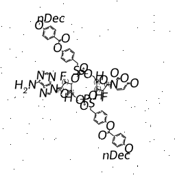 CCCCCCCCCCOc1ccc(C(=O)Oc2ccc(CSP3(=O)OC[C@H]4O[C@@H](n5ccc(=O)oc5=O)C(F)[C@H]4OP(=O)(SCc4ccc(OC(=O)c5ccc(OCCCCCCCCCC)cc5)cc4)OC[C@H]4O[C@@H](n5cnc6c(N)ncnc65)[C@@H](F)C4O3)cc2)cc1